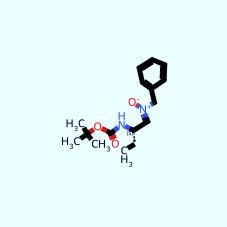 CC[C@@H](C=[N+]([O-])Cc1ccccc1)NC(=O)OC(C)(C)C